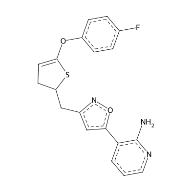 Nc1ncccc1-c1cc(CC2CC=C(Oc3ccc(F)cc3)S2)no1